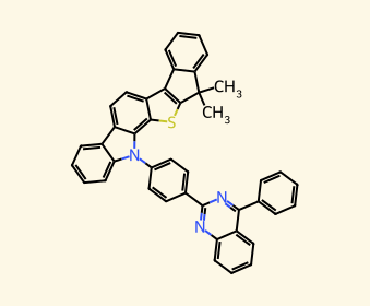 CC1(C)c2ccccc2-c2c1sc1c2ccc2c3ccccc3n(-c3ccc(-c4nc(-c5ccccc5)c5ccccc5n4)cc3)c21